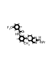 CCCNc1ncc2c(n1)CCN(c1cc(NC(=O)c3cccc(C(F)(F)F)c3)ccc1C)C2